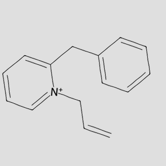 C=CC[n+]1ccccc1Cc1ccccc1